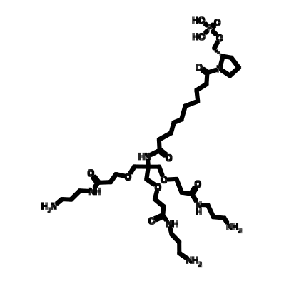 NCCCNC(=O)CCOCC(COCCC(=O)NCCCN)(COCCC(=O)NCCCN)NC(=O)CCCCCCCCC(=O)N1CCC[C@H]1COP(=O)(O)O